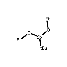 CC[O][Sb]([O]CC)[C](C)(C)C